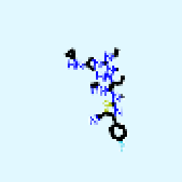 C=C/N=C(/N1CC(NC2CC2)C1)N(C)N/C(CC)=C(\NC=C)N(C)c1nc(-c2ccc(F)cc2)c(C#N)s1